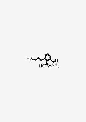 CCCCc1cccc(C(N)=O)c1C(=O)O